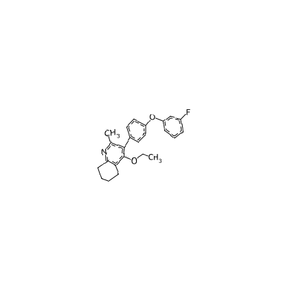 CCOc1c2c(nc(C)c1-c1ccc(Oc3cccc(F)c3)cc1)CCCC2